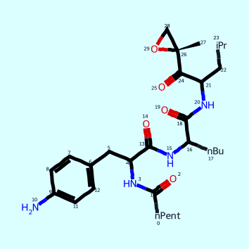 CCCCCC(=O)NC(Cc1ccc(N)cc1)C(=O)NC(CCCC)C(=O)NC(CC(C)C)C(=O)[C@@]1(C)CO1